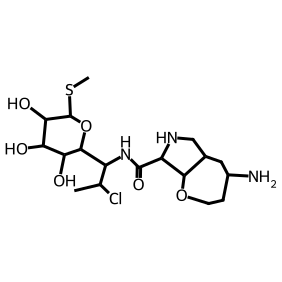 CSC1OC(C(NC(=O)C2NCC3CC(N)CCOC32)C(C)Cl)C(O)C(O)C1O